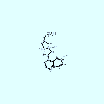 O=C(O)C[C@H]1C[C@@H]2C[C@H](c3ccnc4ccc(F)cc34)C[C@@H]2C1